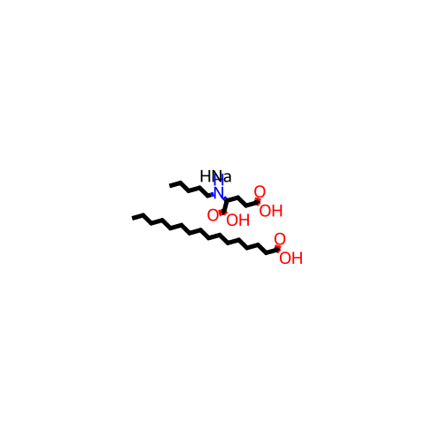 CCCCCCCCCCCCCCCC(=O)O.CCCCCNC(CCC(=O)O)C(=O)O.[NaH]